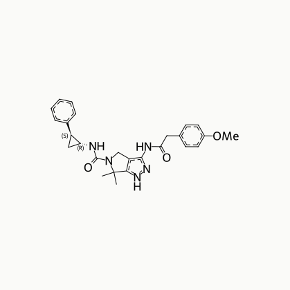 COc1ccc(CC(=O)Nc2n[nH]c3c2CN(C(=O)N[C@@H]2C[C@H]2c2ccccc2)C3(C)C)cc1